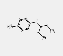 CCC(CO)Sc1ccc(N)cc1